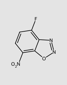 O=[N+]([O-])c1ccc(F)c2nnoc12